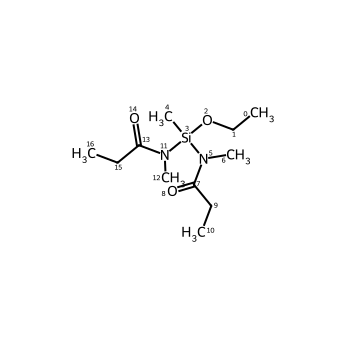 CCO[Si](C)(N(C)C(=O)CC)N(C)C(=O)CC